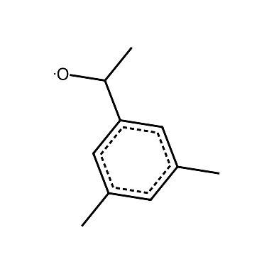 Cc1cc(C)cc(C(C)[O])c1